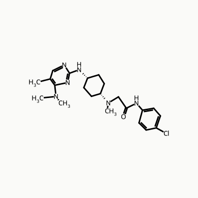 Cc1cnc(N[C@H]2CC[C@@H](N(C)CC(=O)Nc3ccc(Cl)cc3)CC2)nc1N(C)C